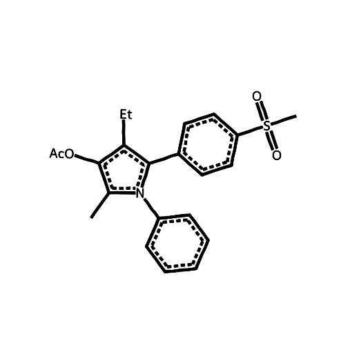 CCc1c(OC(C)=O)c(C)n(-c2ccccc2)c1-c1ccc(S(C)(=O)=O)cc1